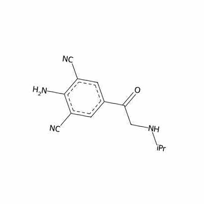 CC(C)NCC(=O)c1cc(C#N)c(N)c(C#N)c1